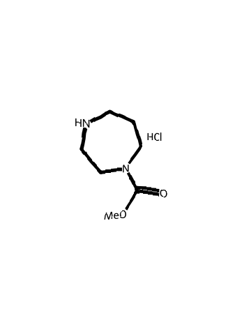 COC(=O)N1CCCNCC1.Cl